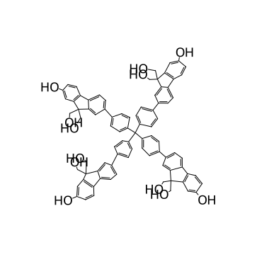 OCC1(CO)c2cc(O)ccc2-c2ccc(-c3ccc(C(c4ccc(-c5ccc6c(c5)C(CO)(CO)c5cc(O)ccc5-6)cc4)(c4ccc(-c5ccc6c(c5)C(CO)(CO)c5cc(O)ccc5-6)cc4)c4ccc(-c5ccc6c(c5)C(CO)(CO)c5cc(O)ccc5-6)cc4)cc3)cc21